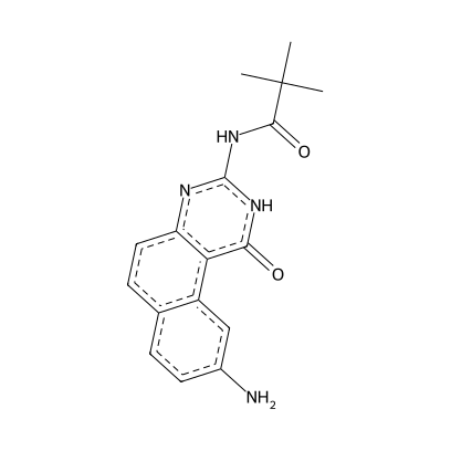 CC(C)(C)C(=O)Nc1nc2ccc3ccc(N)cc3c2c(=O)[nH]1